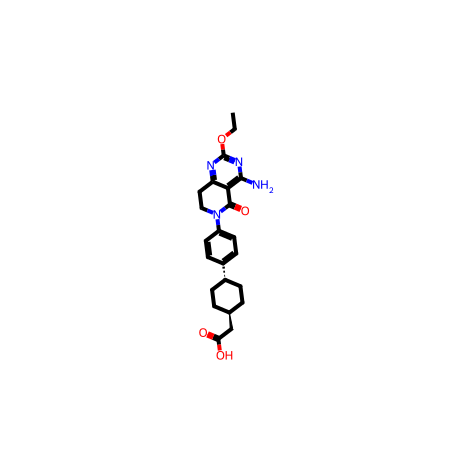 CCOc1nc(N)c2c(n1)CCN(c1ccc([C@H]3CC[C@H](CC(=O)O)CC3)cc1)C2=O